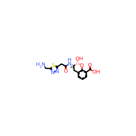 NCc1nnc(CC(=O)N[C@H]2Cc3cccc(C(=O)O)c3OB2O)s1